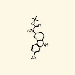 COc1ccc2c3c([nH]c2c1)CCC(NC(=O)OC(C)(C)C)C3